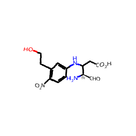 N[C@H](C=O)C(CC(=O)O)Nc1ccc([N+](=O)[O-])c(CCO)c1